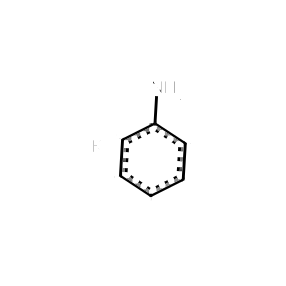 Nc1ccccc1.[K]